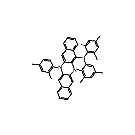 Cc1ccc(N2c3cc4ccccc4cc3N3c4c(C)cc(C)cc4B(c4c(C)cc(C)cc4C)c4c3c2cc2ccccc42)c(C)c1